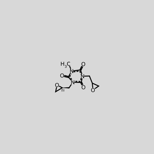 Cn1c(=O)n(CC2CO2)c(=O)n(C[C@H]2CO2)c1=O